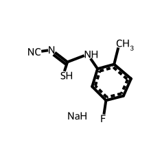 Cc1ccc(F)cc1NC(S)=NC#N.[NaH]